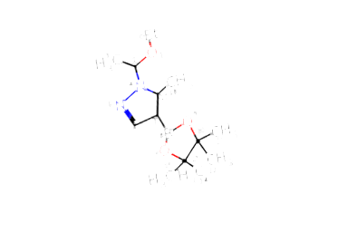 CCOC(C)N1N=CC(B2OC(C)(C)C(C)(C)O2)C1C